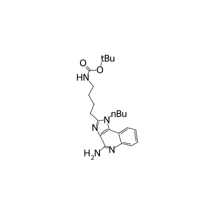 CCCCn1c(CCCCNC(=O)OC(C)(C)C)nc2c(N)nc3ccccc3c21